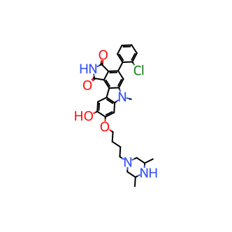 CC1CN(CCCCOc2cc3c(cc2O)c2c4c(c(-c5ccccc5Cl)cc2n3C)C(=O)NC4=O)CC(C)N1